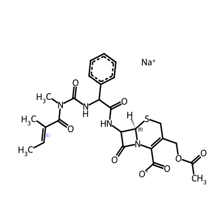 C/C=C(\C)C(=O)N(C)C(=O)NC(C(=O)NC1C(=O)N2C(C(=O)[O-])=C(COC(C)=O)CS[C@H]12)c1ccccc1.[Na+]